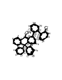 OC1c2ccccc2C(c2ccccc2)(c2ccccc2)c2cccc(-c3ccccc3-c3ccccc3Cl)c21